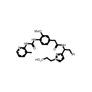 COc1cc(CC(=O)NC(CC(C)C)c2ccn(CCC(=O)O)n2)ccc1NC(=O)Nc1ncccc1C